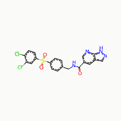 O=C(NCc1ccc(S(=O)(=O)c2ccc(Cl)c(Cl)c2)cc1)c1cnc2[nH]ncc2c1